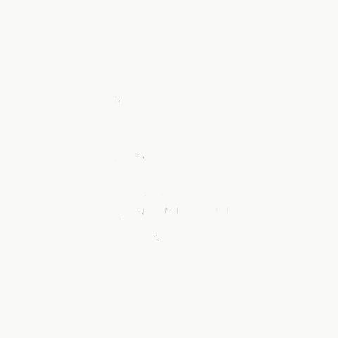 CCCCC1(C2CCCN(C(=O)c3ccncc3)C2)NC(=N)N(C)C1=O